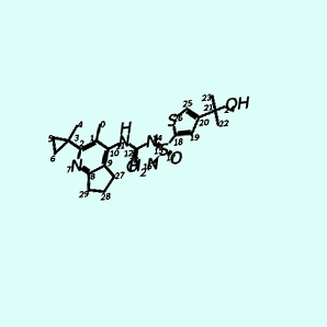 Cc1c(C2(C)CC2)nc2c(c1NC(=O)N=[S@@](N)(=O)c1cc(C(C)(C)O)cs1)CCC2